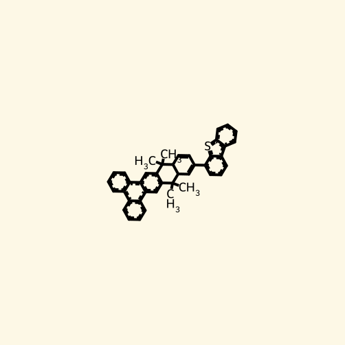 CC1(C)c2cc3c4ccccc4c4ccccc4c3cc2C(C)(C)C2C=C(c3cccc4c3sc3ccccc34)C=CC21